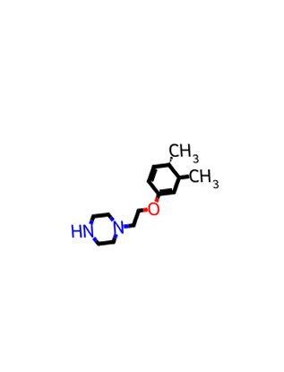 CC1C=C(OCCN2CCNCC2)C=C[C@@H]1C